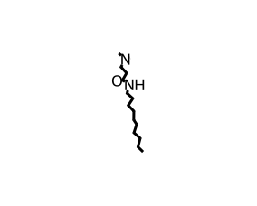 CCCCCCCCCCNC(=O)CCN(C)C